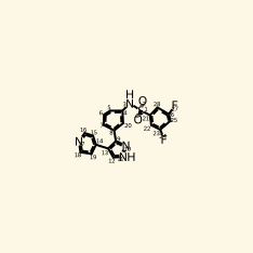 O=S(=O)(Nc1cccc(-c2n[nH]cc2-c2ccncc2)c1)c1cc(F)cc(F)c1